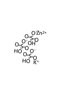 O=S(=O)([O-])O.O=S(=O)([O-])O.O=S(=O)([O-])O.[K+].[Zn+2]